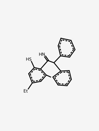 CCc1cc(C)c(C(=N)C(c2ccccc2)c2ccccc2)c(S)c1